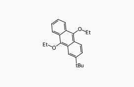 CCOc1c2ccccc2c(OCC)c2cc(C(C)(C)C)ccc12